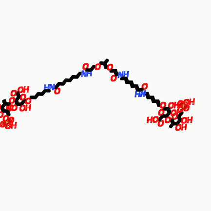 CC(COCCC(=O)NCCCCCCCC(=O)NCCCCCCOC1OC(C(=O)O)C(OC2OC(COS(=O)(=O)O)C(O)C(O)C2C)C(O)C1O)COCCC(=O)NCCCCCCCC(=O)NCCCCCCOC1OC(C(=O)O)C(OC2OC(COS(=O)(=O)O)C(O)C(O)C2C)C(O)C1O